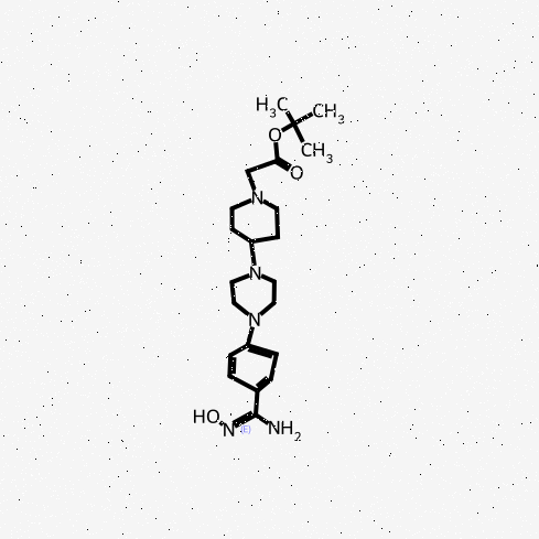 CC(C)(C)OC(=O)CN1CCC(N2CCN(c3ccc(/C(N)=N\O)cc3)CC2)CC1